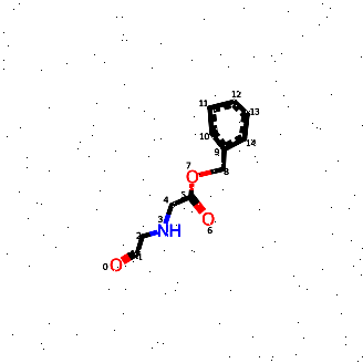 O=[C]CNCC(=O)OCc1ccccc1